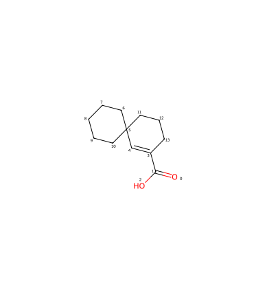 O=C(O)C1=CC2(CCCCC2)CCC1